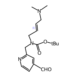 CN(C)C/C=C/CN(Cc1cc(C=O)ccn1)C(=O)OC(C)(C)C